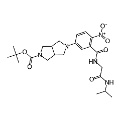 CC(C)NC(=O)CNC(=O)c1cc(N2CC3CN(C(=O)OC(C)(C)C)CC3C2)ccc1[N+](=O)[O-]